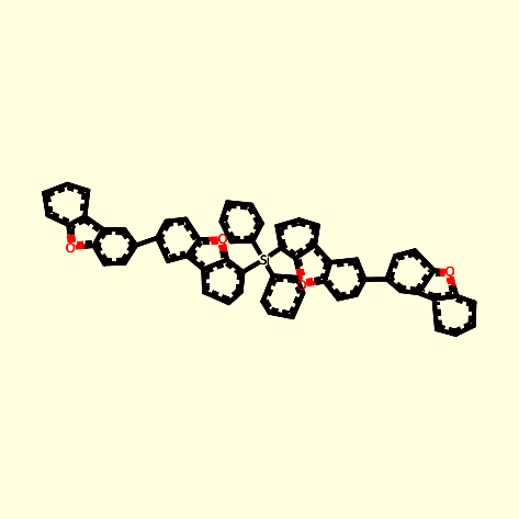 c1ccc([Si](c2ccccc2)(c2cccc3c2oc2ccc(-c4ccc5oc6ccccc6c5c4)cc23)c2cccc3c2oc2ccc(-c4ccc5oc6ccccc6c5c4)cc23)cc1